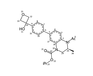 CC(=O)N1c2ccc(-c3ccc(C4(O)COC4)cc3)cc2N(C(=O)OC(C)C)C[C@@H]1C